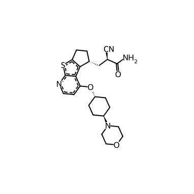 N#C[C@H](C[C@H]1CCc2sc3nccc(O[C@H]4CC[C@H](N5CCOCC5)CC4)c3c21)C(N)=O